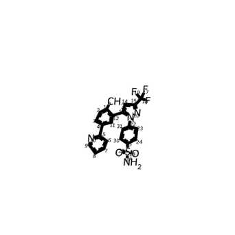 Cc1ccc(-c2ccccn2)cc1-c1cc(C(F)(F)F)nn1-c1ccc(S(N)(=O)=O)cc1